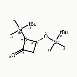 CC(C)(C)[Si](C)(C)O[C@@H]1CC(=O)N1[Si](C)(C)C(C)(C)C